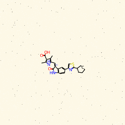 Cc1[nH]c(/C=C2\C(=O)Nc3ccc(-c4csc(C5CCCCC5)n4)cc32)c(C)c1C(=O)O